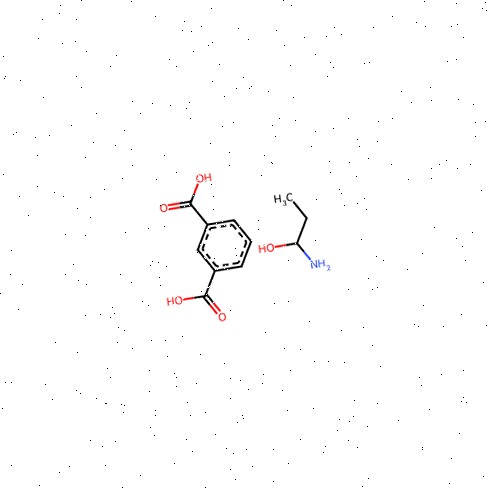 CCC(N)O.O=C(O)c1cccc(C(=O)O)c1